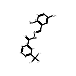 O=C(NN=Cc1cc(O)ccc1O)c1cccc(C(F)(F)F)c1